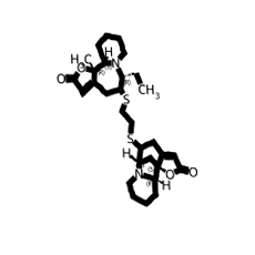 CC[C@@H]1C(SCCSC2CC3=CC(=O)O[C@@]34C[C@@H]2N2CCCC[C@@H]24)CC2=CC(=O)O[C@@]2(C)[C@@H]2CCCCN12